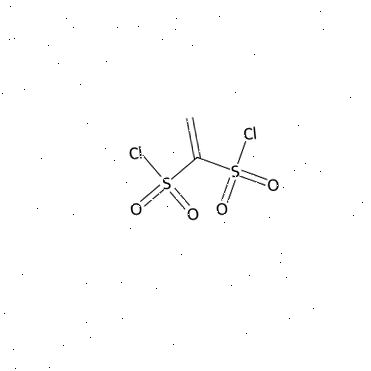 C=C(S(=O)(=O)Cl)S(=O)(=O)Cl